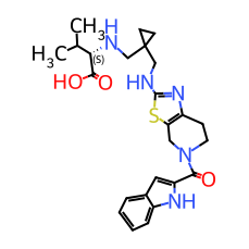 CC(C)[C@H](NCC1(CNc2nc3c(s2)CN(C(=O)c2cc4ccccc4[nH]2)CC3)CC1)C(=O)O